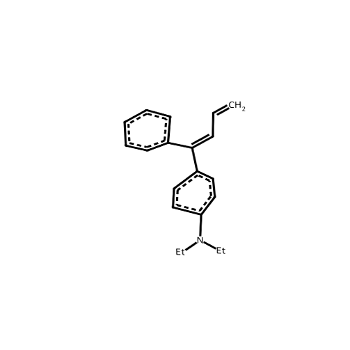 C=C/C=C(\c1ccccc1)c1ccc(N(CC)CC)cc1